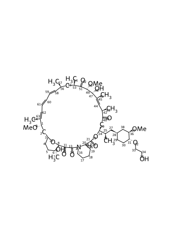 CO[C@H]1CC2CC[C@@H](C)[C@@](O)(O2)C(=O)C(=O)N2CCCC[C@H]2C(=O)O[C@H]([C@H](C)C[C@@H]2CC[C@@H](OCCO)[C@H](OC)C2)CC(=O)[C@H](C)/C=C(\C)[C@@H](O)[C@@H](OC)C(=O)[C@H](C)C[C@H](C)/C=C/C=C/C=C/1C